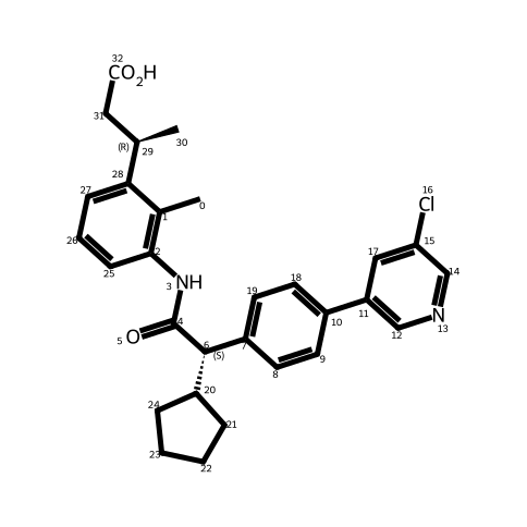 Cc1c(NC(=O)[C@H](c2ccc(-c3cncc(Cl)c3)cc2)C2CCCC2)cccc1[C@H](C)CC(=O)O